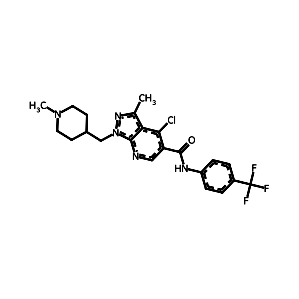 Cc1nn(CC2CCN(C)CC2)c2ncc(C(=O)Nc3ccc(C(F)(F)F)cc3)c(Cl)c12